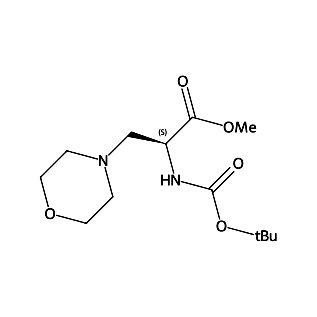 COC(=O)[C@H](CN1CCOCC1)NC(=O)OC(C)(C)C